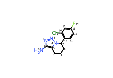 Nc1nnn2c1CCCC2c1ccc(F)cc1Cl